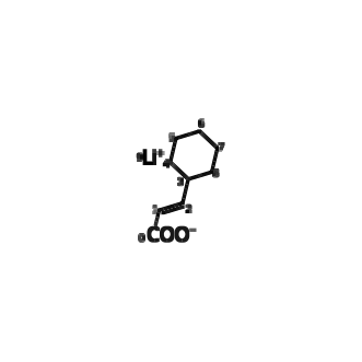 O=C([O-])C=CC1CCCCC1.[Li+]